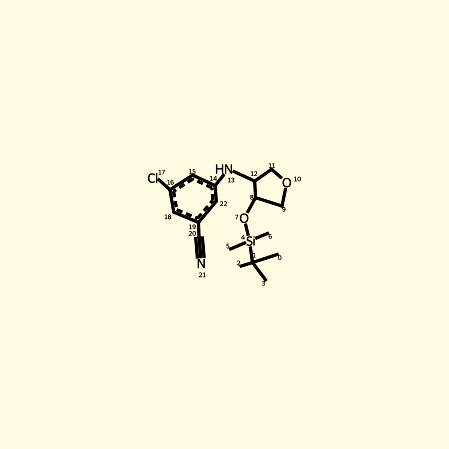 CC(C)(C)[Si](C)(C)OC1COCC1Nc1cc(Cl)cc(C#N)c1